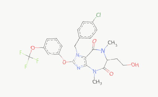 CN1C(=O)C(CCO)N(C)C(=O)c2c1nc(Oc1cccc(OC(F)(F)F)c1)n2Cc1ccc(Cl)cc1